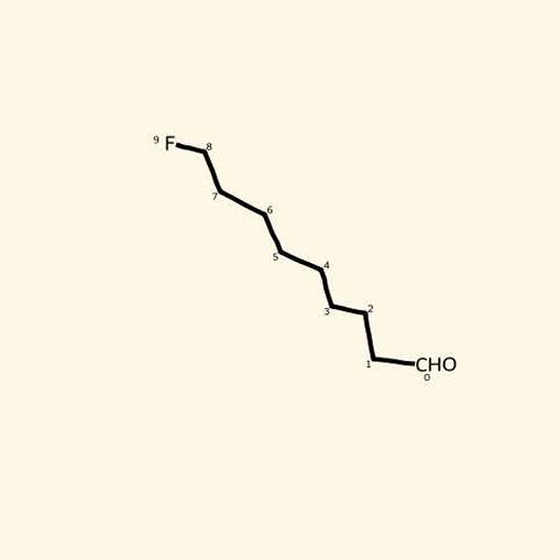 O=CCCCCCCCCF